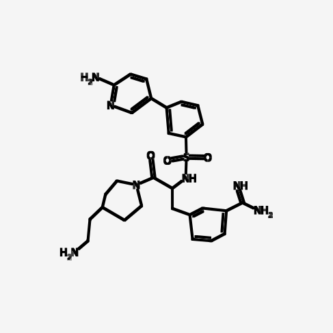 N=C(N)c1cccc(CC(NS(=O)(=O)c2cccc(-c3ccc(N)nc3)c2)C(=O)N2CCC(CCN)CC2)c1